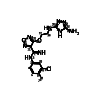 N=C(Nc1ccc(F)c(Cl)c1)c1nonc1OCCNc1nnc(N)[nH]1